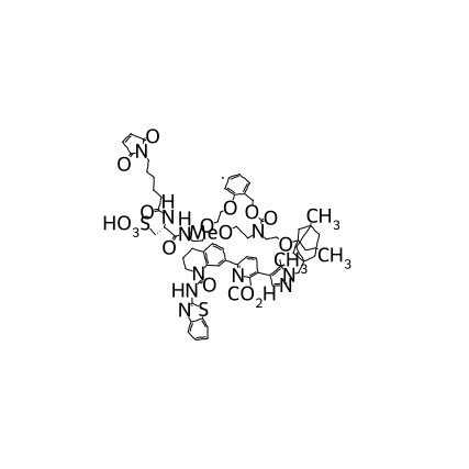 COCCN(CCOC12CC3(C)CC(C)(CC(Cn4ncc(-c5ccc(-c6ccc7c(c6)N(C(=O)Nc6nc8ccccc8s6)CCC7)nc5C(=O)O)c4C)(C3)C1)C2)C(=O)OCc1cc[c]cc1OCCOCCNC(=O)[C@H](CS(=O)(=O)O)NC(=O)CCCCCN1C(=O)C=CC1=O